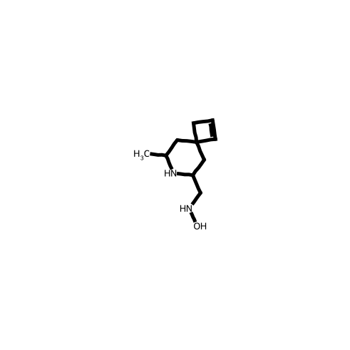 CC1CC2(C=CC2)CC(CNO)N1